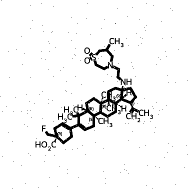 C=C(C)[C@@H]1CC[C@]2(NCCN3CCS(=O)(=O)CC(C)C3)CC[C@]3(C)[C@H](CCC4[C@@]5(C)CC=C(C6=CC[C@@](CF)(C(=O)O)CC6)C(C)(C)[C@@H]5CC[C@]43C)[C@@H]12